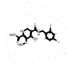 CCCCOC1=C(C(=O)OC)NCC(C(=O)NCc2ccc(F)cc2F)=C1O